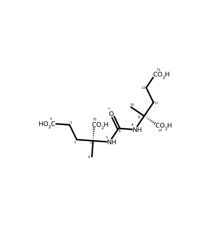 C[C@@](CCC(=O)O)(NC(=O)N[C@@](C)(CCC(=O)O)C(=O)O)C(=O)O